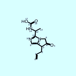 C=CCC1C(=O)Cn2c1cnc2C(C)NC(=O)O